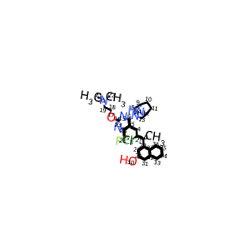 C\C(=C(Cl)/C=c1/c(N2CC3CCC(C2)N3)nc(OCCN(C)C)n/c1=C\F)c1cc(O)cc2ccccc12